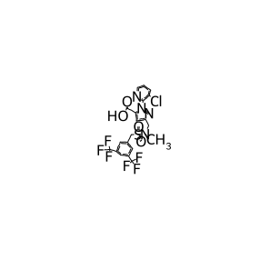 CN(Cc1cc(C(=O)O)n(-c2ncccc2Cl)n1)S(=O)(=O)Cc1cc(C(F)(F)F)cc(C(F)(F)F)c1